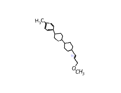 COC/C=C/C1CCC(C2CCC(c3ccc(C)cc3)CC2)CC1